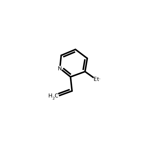 C=Cc1ncccc1[CH]C